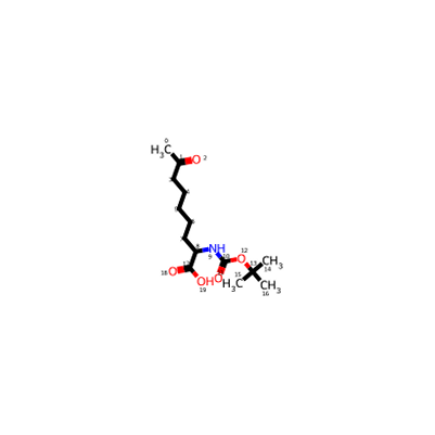 CC(=O)CCCCCC(NC(=O)OC(C)(C)C)C(=O)O